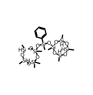 C[SiH]1O[SiH](C)O[Si](C)(O[Si](C)(O[Si]2(C)O[SiH](C)O[SiH](C)O[Si](C)(C)O2)c2ccccc2)O[SiH](C)O1